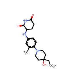 O=C(O)CC1(O)CCN(c2ccc(NC3CCC(=O)NC3=O)cc2C(F)(F)F)CC1